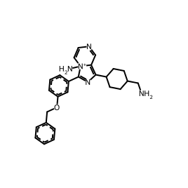 NCC1CCC(C2=C3C=NC=C[N+]3(N)C(c3cccc(OCc4ccccc4)c3)=N2)CC1